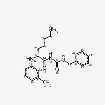 NCCCC[C@H](Nc1cccc(C(F)(F)F)c1)C(=O)NC(=O)OCc1ccccc1